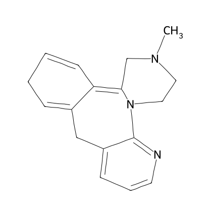 CN1CCN2C(=C3C=CCC=C3Cc3cccnc32)C1